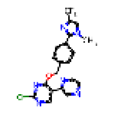 Cn1cc(C(F)(F)F)nc1-c1ccc(COc2nc(Cl)ncc2-c2cnccn2)cc1